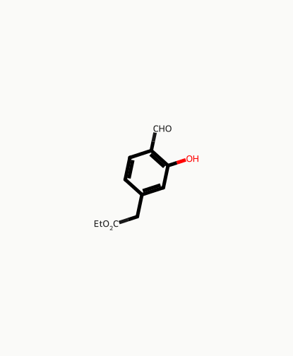 CCOC(=O)Cc1ccc(C=O)c(O)c1